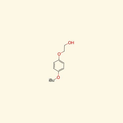 CCC(C)Oc1ccc(OCCO)cc1